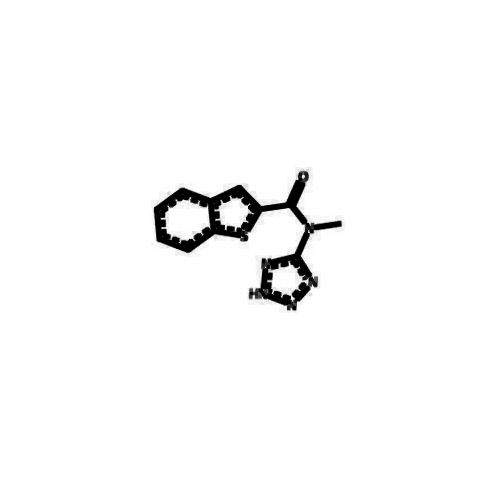 CN(C(=O)c1cc2ccccc2s1)c1nn[nH]n1